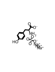 N[C@@H](Cc1ccc(O)cc1)C(=O)[O-].O=S(=O)([O-])[O-].[Na+].[Na+].[Na+]